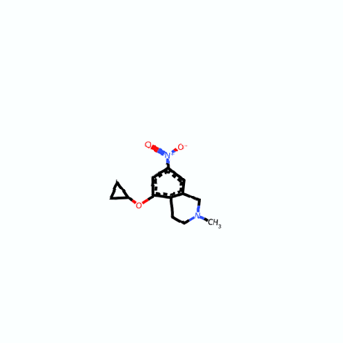 CN1CCc2c(cc([N+](=O)[O-])cc2OC2CC2)C1